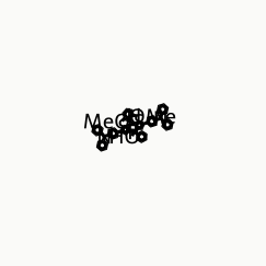 COc1cccc(OC)c1C1c2sc(-c3ccc(N(c4ccccc4)c4ccccc4)cc3)cc2[PH](O)(c2ccccc2)c2cc(-c3ccc(N(c4ccccc4)c4ccccc4)cc3)sc21